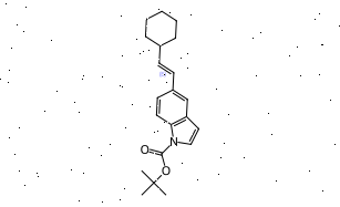 CC(C)(C)OC(=O)n1ccc2cc(/C=C/C3CCCCC3)ccc21